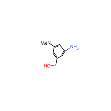 CNc1cc(N)cc(CO)c1